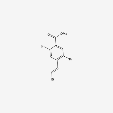 CCC=Cc1cc(Br)c(C(=O)OC)cc1Br